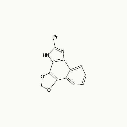 CC(C)c1nc2c([nH]1)c1c(c3ccccc32)OCO1